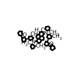 Cc1cc(-c2cccc3c2oc2ccccc23)cc(N(c2c(C)cccc2C)c2ccc3ccc4c(N(c5cc(C)cc(-c6cccc7c6oc6ccccc67)c5)c5c(C)cccc5C)ccc5ccc2c3c54)c1